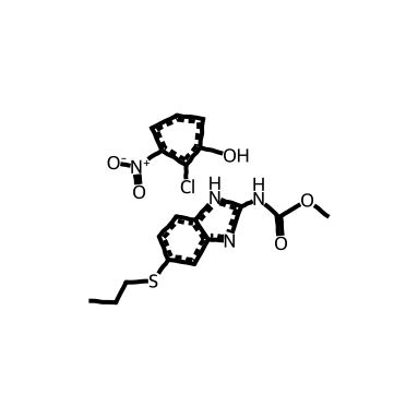 CCCSc1ccc2[nH]c(NC(=O)OC)nc2c1.O=[N+]([O-])c1cccc(O)c1Cl